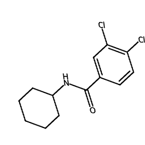 O=C(NC1CCCCC1)c1ccc(Cl)c(Cl)c1